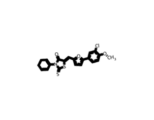 COc1ccc(-c2ccc(/C=C3\SC(=S)N(C4=CCCC=C4)C3=O)o2)cc1Cl